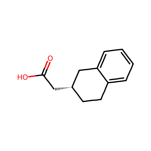 O=C(O)C[C@H]1CCc2ccccc2C1